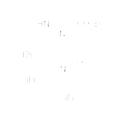 Br.CCOC(=O)Cn1cc(C(=O)N(CCC(C)C)CCC(C)C)ccc1=N